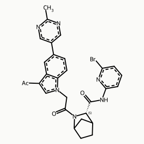 CC(=O)c1cn(CC(=O)N2C3CCC(C3)[C@H]2C(=O)Nc2cccc(Br)n2)c2ccc(-c3cnc(C)nc3)cc12